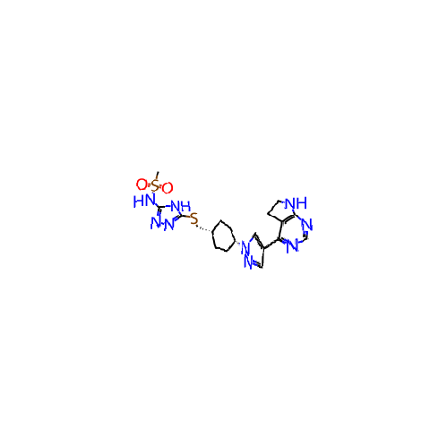 CS(=O)(=O)Nc1nnc(SC[C@H]2CC[C@@H](n3cc(-c4ncnc5c4CCN5)cn3)CC2)[nH]1